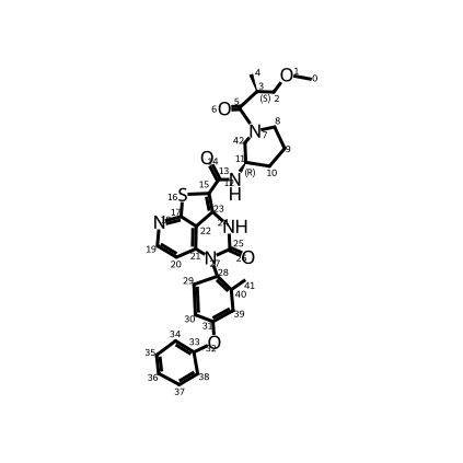 COC[C@H](C)C(=O)N1CCC[C@@H](NC(=O)c2sc3nccc4c3c2NC(=O)N4c2ccc(Oc3ccccc3)cc2C)C1